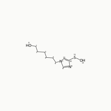 OCCCCCCn1cnc(SO)c1